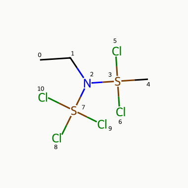 CCN(S(C)(Cl)Cl)S(Cl)(Cl)Cl